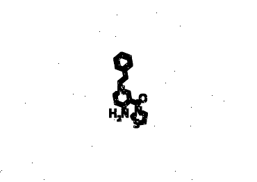 NC1CCN(CCc2ccccc2)CC1C(=O)N1CCSC1